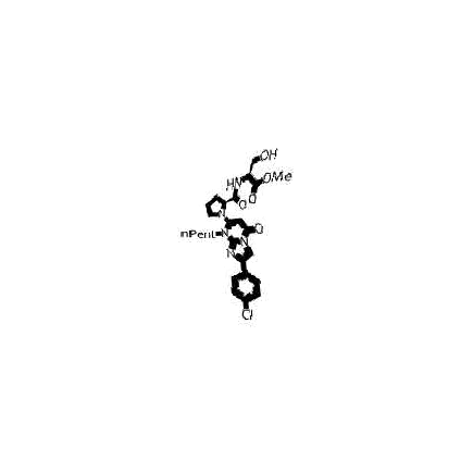 CCCCCn1c(N2CCC[C@H]2C(=O)N[C@@H](CO)C(=O)OC)cc(=O)n2cc(-c3ccc(Cl)cc3)nc12